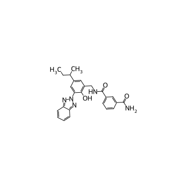 CCC(C)c1cc(CNC(=O)c2cccc(C(N)=O)c2)c(O)c(-n2nc3ccccc3n2)c1